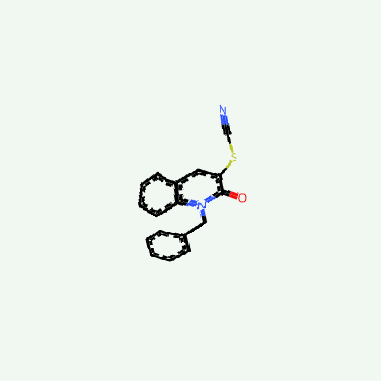 N#CSc1cc2ccccc2n(Cc2ccccc2)c1=O